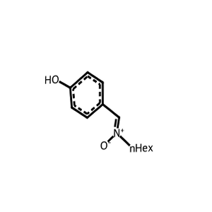 CCCCCC[N+]([O-])=Cc1ccc(O)cc1